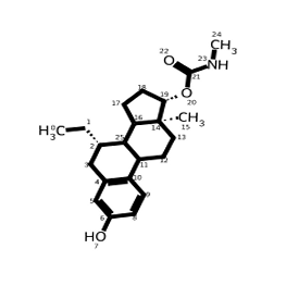 CC[C@H]1Cc2cc(O)ccc2C2CC[C@@]3(C)C(CC[C@@H]3OC(=O)NC)C21